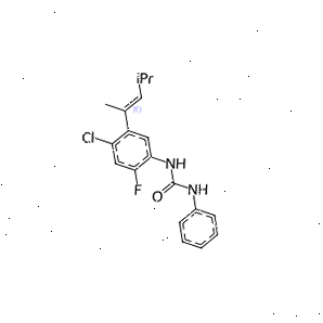 C/C(=C\C(C)C)c1cc(NC(=O)Nc2ccccc2)c(F)cc1Cl